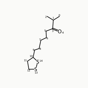 CC(C)C(=O)CCCCCC1CCSS1